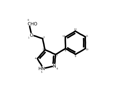 O=COCc1c[nH]nc1-c1ccccc1